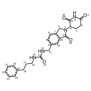 O=C1CCC(N2Cc3ccc(CNC(=O)NCCCc4ccccc4)cc3C2=O)C(=O)N1